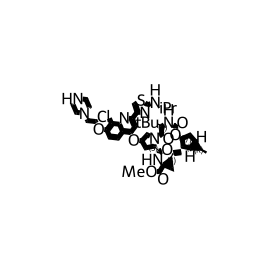 C=C[C@@H]1CC1(NC(=O)[C@@H]1CC(Oc2cc(-c3csc(NC(C)C)n3)nc3c(Cl)c(OCCN4CCNCC4)ccc23)CN1C(=O)[C@@H](NC(=O)O[C@@H]1C[C@@H]2[C@H](C)[C@@H]2C1)C(C)(C)C)C(=O)OC